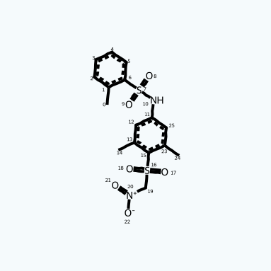 Cc1ccccc1S(=O)(=O)Nc1cc(C)c(S(=O)(=O)C[N+](=O)[O-])c(C)c1